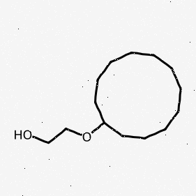 OCCOC1CCCCCCCCCCC1